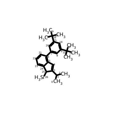 CC(C)C1=Cc2c(-c3cc(C(C)(C)C)cc(C(C)(C)C)c3)cccc2C1[SiH3]